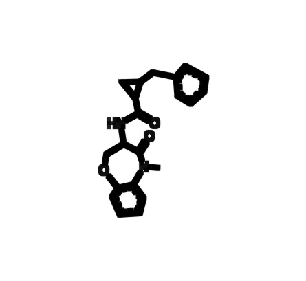 CN1C(=O)C(NC(=O)C2CC2Cc2ccccc2)COc2ccccc21